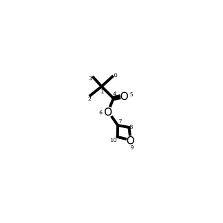 CC(C)(C)C(=O)OC1COC1